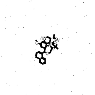 COc1ccc2c(c1)C(c1cccc3ccccc13)OCC(=O)[N@@+]2(CC(C)(C)C)[C@@]1(C(=O)O)CCNC[C@@H]1C(C)=O